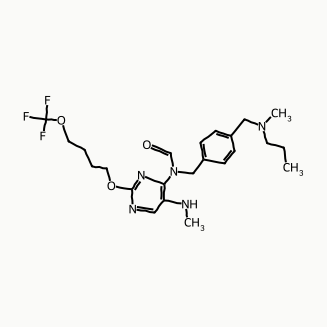 CCCN(C)Cc1ccc(CN(C=O)c2nc(OCCCCOC(F)(F)F)ncc2NC)cc1